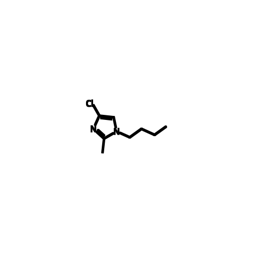 CCCCn1cc(Cl)nc1C